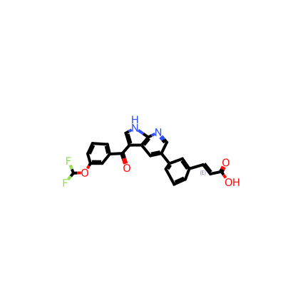 O=C(O)/C=C/c1cccc(-c2cnc3[nH]cc(C(=O)c4cccc(OC(F)F)c4)c3c2)c1